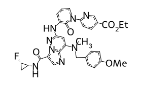 CCOC(=O)c1ccc(-n2cccc(Nc3cc(N(C)Cc4ccc(OC)cc4)c4ncc(C(=O)N[C@@H]5C[C@@H]5F)n4n3)c2=O)nc1